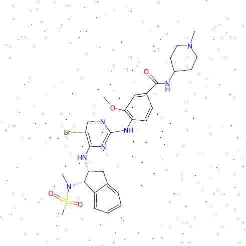 COc1cc(C(=O)NC2CCN(C)CC2)ccc1Nc1ncc(Br)c(N[C@@H]2Cc3ccccc3[C@@H]2N(C)S(C)(=O)=O)n1